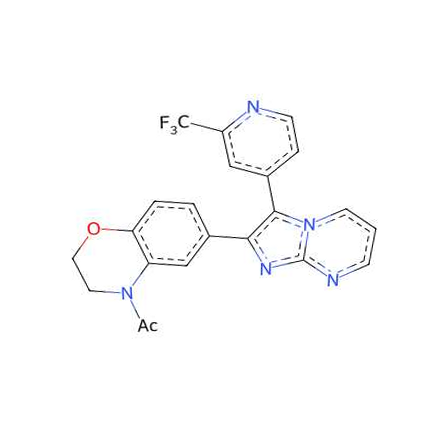 CC(=O)N1CCOc2ccc(-c3nc4ncccn4c3-c3ccnc(C(F)(F)F)c3)cc21